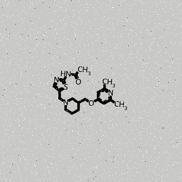 CC(=O)Nc1ncc(CN2CCCC(COc3cc(C)nc(C)c3)C2)s1